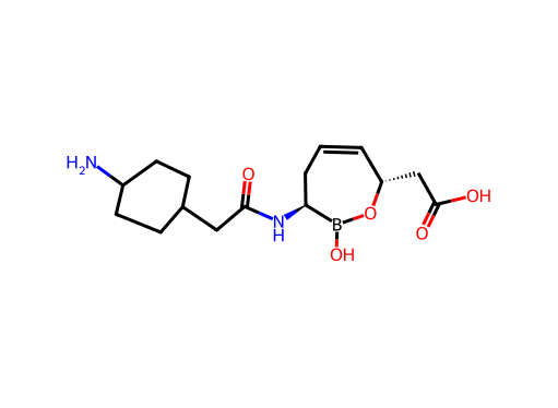 NC1CCC(CC(=O)N[C@H]2CC=C[C@H](CC(=O)O)OB2O)CC1